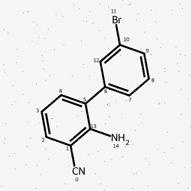 N#Cc1cccc(-c2cccc(Br)c2)c1N